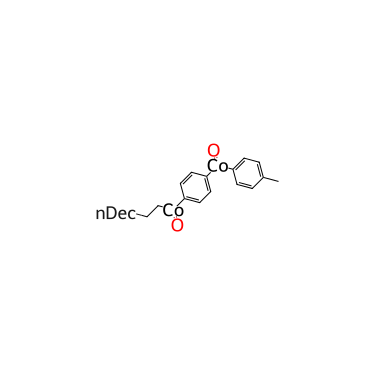 CCCCCCCCCCC[CH2][Co](=[O])[c]1cc[c]([Co](=[O])[c]2ccc(C)cc2)cc1